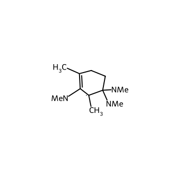 CNC1=C(C)CCC(NC)(NC)[C]1C